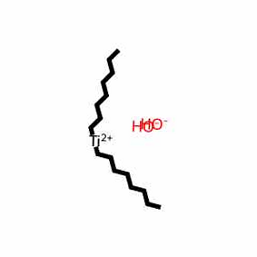 CCCCCCC[CH2][Ti+2][CH2]CCCCCCC.[OH-].[OH-]